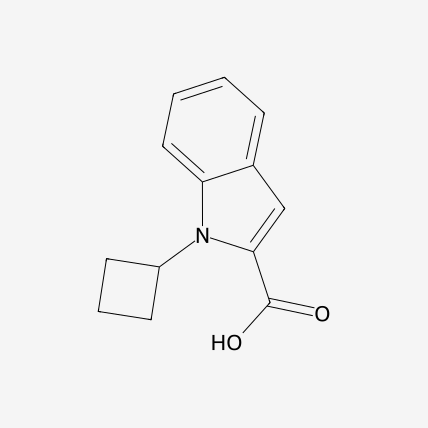 O=C(O)c1cc2ccccc2n1C1CCC1